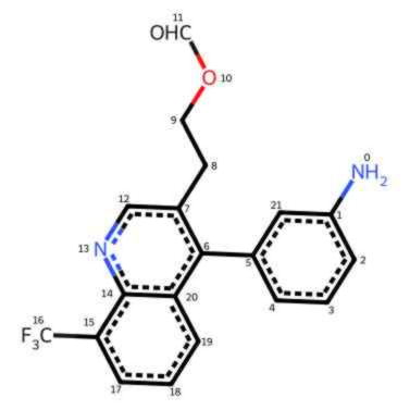 Nc1cccc(-c2c(CCOC=O)cnc3c(C(F)(F)F)cccc23)c1